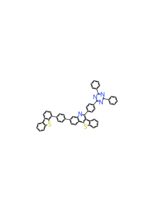 c1ccc(-c2nc(-c3ccccc3)nc(-c3ccc(-c4nc5cc(-c6ccc(-c7cccc8c7sc7ccccc78)cc6)ccc5c5sc6ccccc6c45)cc3)n2)cc1